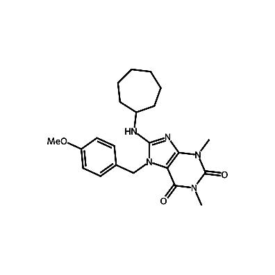 COc1ccc(Cn2c(NC3CCCCCC3)nc3c2c(=O)n(C)c(=O)n3C)cc1